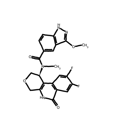 COc1n[nH]c2ccc(C(=O)N(C)[C@@H]3COCc4[nH]c(=O)c5cc(F)c(F)cc5c43)cc12